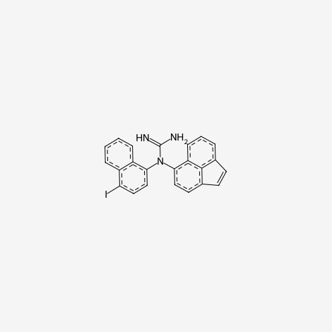 N=C(N)N(c1ccc(I)c2ccccc12)c1ccc2c3c(cccc13)C=C2